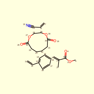 C=C(C)C(=O)OC.C=CC#N.C=Cc1ccccc1.O=C1CCCCC(=O)OCCO1